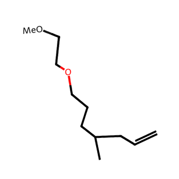 C=CCC(C)CCCOCCOC